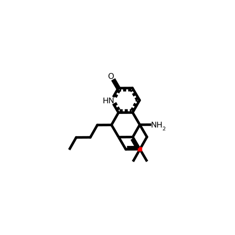 C/C=C1\C2C=C(C)CC1(N)c1ccc(=O)[nH]c1C2CCCC